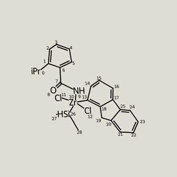 CC(C)c1ccccc1C(=O)[NH][Zr]([Cl])([Cl])([c]1cccc2c1Cc1ccccc1-2)[SiH](C)C